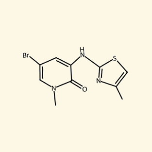 Cc1csc(Nc2cc(Br)cn(C)c2=O)n1